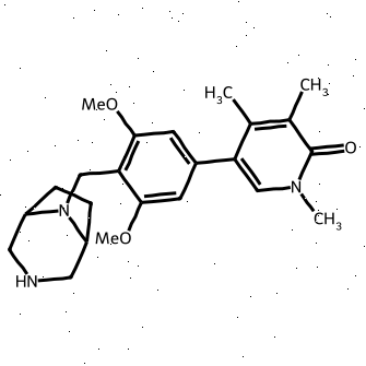 COc1cc(-c2cn(C)c(=O)c(C)c2C)cc(OC)c1CN1C2CCC1CNC2